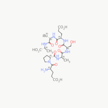 CC[C@@H](C)[C@@H](NC(=O)[C@@H](CCC(=O)O)NC(=O)[C@@H](CO)NC(=O)[C@@H](C)NC(=O)[C@H]1CCCN1C(=O)[C@H](N)CCC(=O)O)C(=O)N[C@H](C)C(=O)O